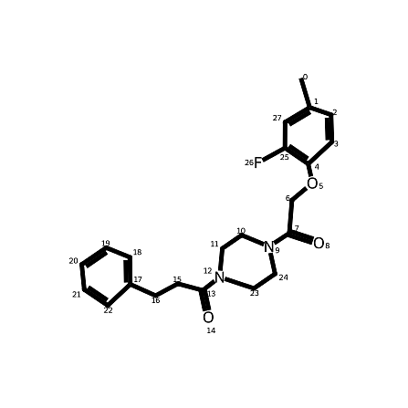 Cc1ccc(OCC(=O)N2CCN(C(=O)CCc3ccccc3)CC2)c(F)c1